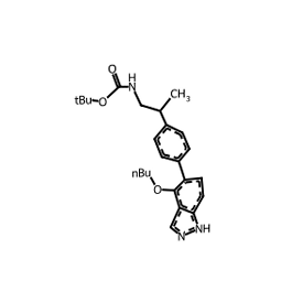 CCCCOc1c(-c2ccc(C(C)CNC(=O)OC(C)(C)C)cc2)ccc2[nH]ncc12